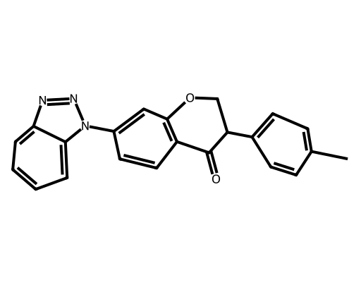 Cc1ccc(C2COc3cc(-n4nnc5ccccc54)ccc3C2=O)cc1